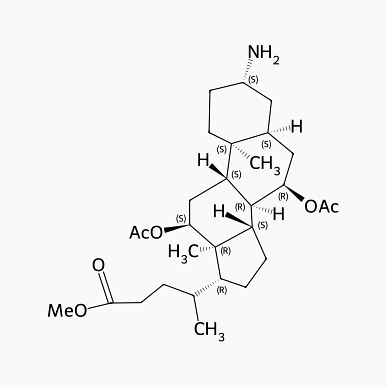 COC(=O)CCC(C)[C@H]1CC[C@H]2[C@@H]3[C@H](OC(C)=O)C[C@@H]4C[C@@H](N)CC[C@]4(C)[C@H]3C[C@H](OC(C)=O)[C@]12C